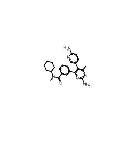 Cc1nc(N)nc(-c2cccc(C(=O)N(C)C3CCCCC3)c2)c1-c1ccc(N)nc1